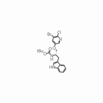 CC(C)(C)OC(=O)N[C@H](COc1cnc(Cl)c(Br)c1)Cc1c[nH]c2ccccc12